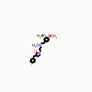 COc1ccc(CCN(C)CCCN2CC/C(=C\c3ccc(F)cc3)C2=O)cc1OC